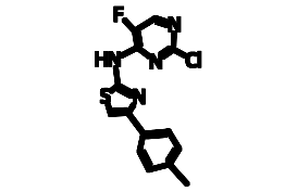 Cc1ccc(-c2csc(Nc3nc(Cl)ncc3F)n2)cc1